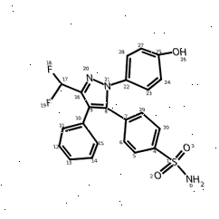 NS(=O)(=O)c1ccc(-c2c(-c3ccccc3)c(C(F)F)nn2-c2ccc(O)cc2)cc1